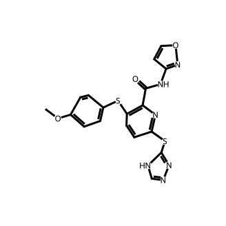 COc1ccc(Sc2ccc(Sc3nnc[nH]3)nc2C(=O)Nc2ccon2)cc1